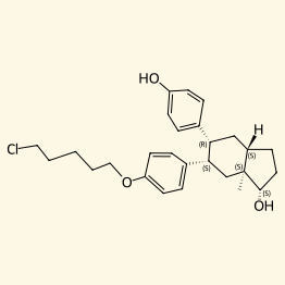 C[C@]12C[C@H](c3ccc(OCCCCCCl)cc3)[C@H](c3ccc(O)cc3)C[C@@H]1CC[C@@H]2O